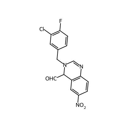 O=CC1c2cc([N+](=O)[O-])ccc2N=CN1Cc1ccc(F)c(Cl)c1